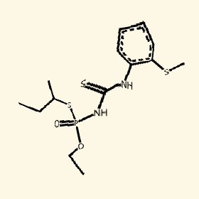 CCOP(=O)(NC(=S)Nc1ccccc1SC)SC(C)CC